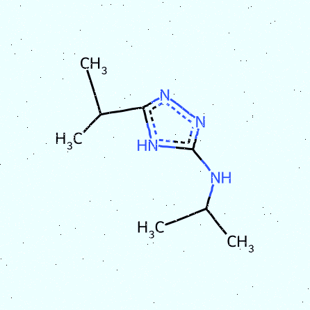 CC(C)Nc1nnc(C(C)C)[nH]1